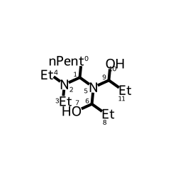 CCCCCC(N(CC)CC)N(C(O)CC)C(O)CC